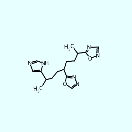 CC(CCC(CCC(C)c1ncno1)c1nnco1)c1cnc[nH]1